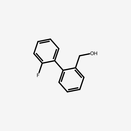 OCc1ccccc1-c1ccccc1F